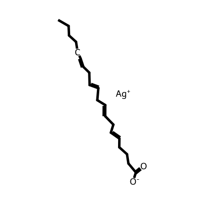 CCCCCC=CCC=CCC=CCC=CCCCC(=O)[O-].[Ag+]